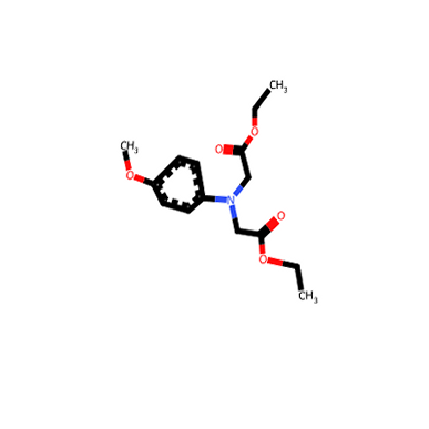 CCOC(=O)CN(CC(=O)OCC)c1ccc(OC)cc1